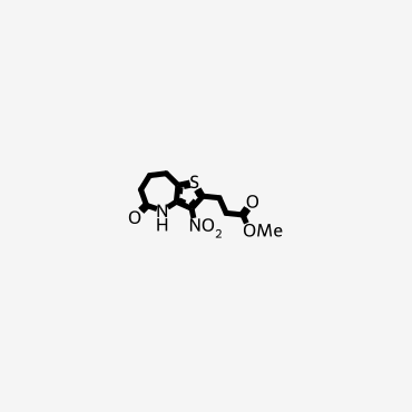 COC(=O)CCc1sc2c(c1[N+](=O)[O-])NC(=O)CCC2